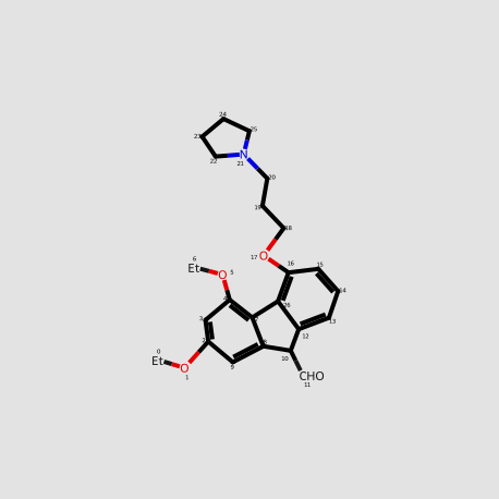 CCOc1cc(OCC)c2c(c1)C(C=O)c1cccc(OCCCN3CCCC3)c1-2